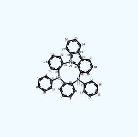 c1ccc(B2c3ccccc3N(c3ccccc3)c3cccc4c5ccccc5n(c34)-c3ccccc32)cc1